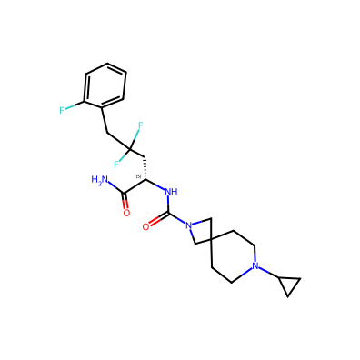 NC(=O)[C@H](CC(F)(F)Cc1ccccc1F)NC(=O)N1CC2(CCN(C3CC3)CC2)C1